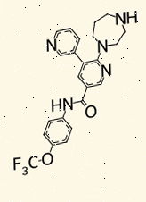 O=C(Nc1ccc(OC(F)(F)F)cc1)c1cnc(N2CCCNCC2)c(-c2cccnc2)c1